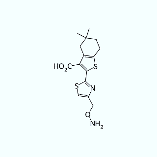 CC1(C)CCc2sc(-c3nc(CON)cs3)c(C(=O)O)c2C1